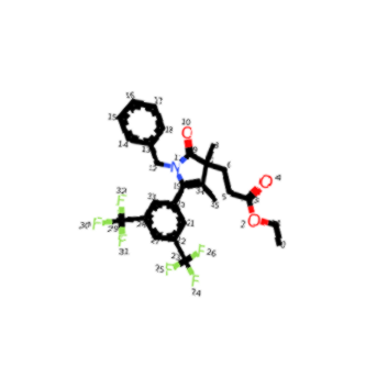 CCOC(=O)CCC1(C)C(=O)N(Cc2ccccc2)C(c2cc(C(F)(F)F)cc(C(F)(F)F)c2)=C1C